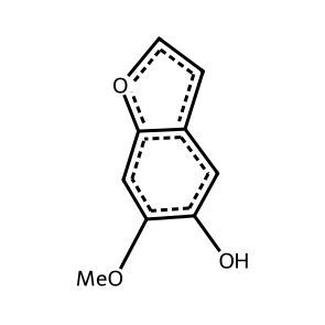 COc1cc2occc2cc1O